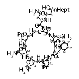 CCCCCCC[C@@H](O)CC(=O)N[C@H](CCN)C(=O)N[C@H]1CCNC(=O)[C@H](CC(C)C)NC(=O)[C@H](CCN)NC(=O)[C@H](CCN)NC(=O)[C@H](CC(C)C)NC(=O)[C@@H](Cc2ccccc2)NC(=O)[C@H](CCN)NC1=O